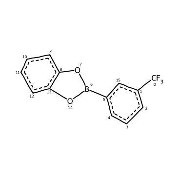 FC(F)(F)c1cccc(B2Oc3ccccc3O2)c1